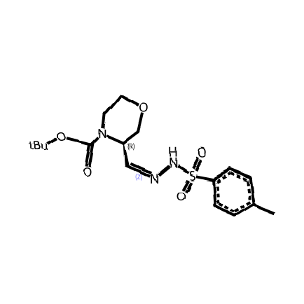 Cc1ccc(S(=O)(=O)N/N=C\[C@@H]2COCCN2C(=O)OC(C)(C)C)cc1